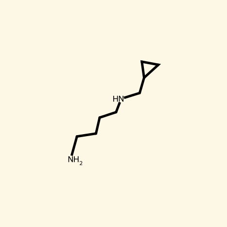 NCCCCNCC1CC1